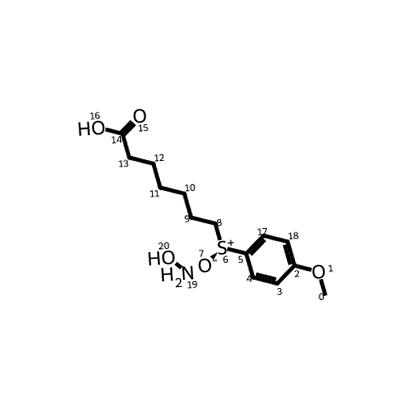 COc1ccc([S@@+]([O-])CCCCCCC(=O)O)cc1.NO